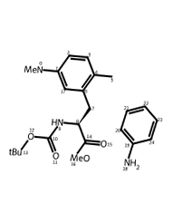 CNc1ccc(C)c(C[C@H](NC(=O)OC(C)(C)C)C(=O)OC)c1.Nc1ccccc1